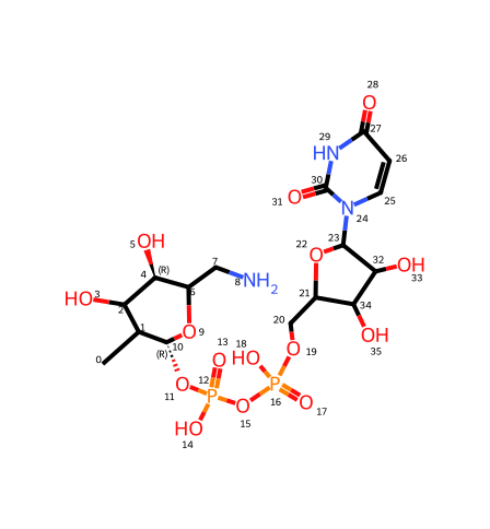 CC1C(O)[C@@H](O)C(CN)O[C@@H]1OP(=O)(O)OP(=O)(O)OCC1OC(n2ccc(=O)[nH]c2=O)C(O)C1O